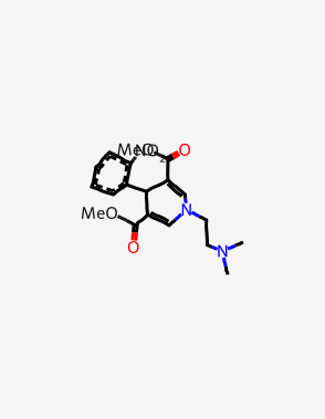 COC(=O)C1=CN(CCN(C)C)C=C(C(=O)OC)C1c1ccccc1[N+](=O)[O-]